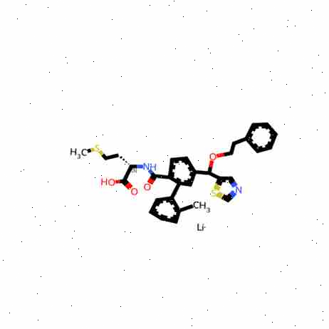 CSCC[C@H](NC(=O)c1ccc(C(OCCc2ccccc2)c2cncs2)cc1-c1ccccc1C)C(=O)O.[Li]